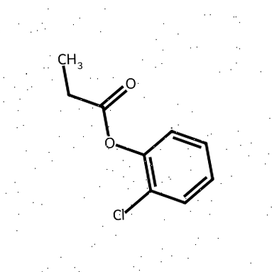 CCC(=O)Oc1[c]cccc1Cl